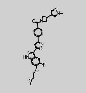 COCCOc1cc2[nH]nc(-c3cc(-c4ccc(C(=O)N5CC(c6cnn(C)c6)C5)cc4)no3)c2cc1F